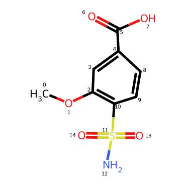 COc1cc(C(=O)O)ccc1S(N)(=O)=O